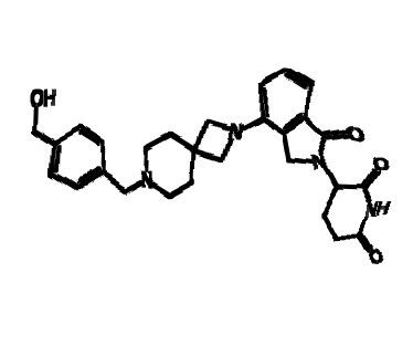 O=C1CCC(N2Cc3c(cccc3N3CC4(CCN(Cc5ccc(CO)cc5)CC4)C3)C2=O)C(=O)N1